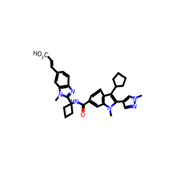 Cn1cc(-c2c(C3CCCC3)c3ccc(C(=O)NC4(c5nc6ccc(/C=C/C(=O)O)cc6n5C)CCC4)cc3n2C)cn1